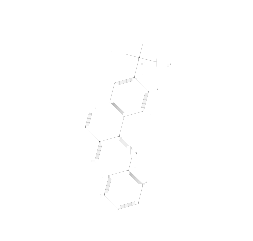 O=Cc1cc2ccccc2nc1-c1ccc(C(F)(F)F)cc1